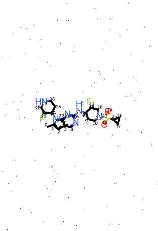 Cc1cc2cnc(N[C@@H]3CCN(S(=O)(=O)C4CC4)C[C@H]3F)nc2n1[C@@H]1CCNC[C@H]1F